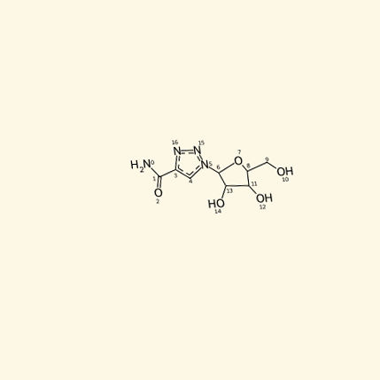 NC(=O)c1cn(C2OC(CO)C(O)C2O)nn1